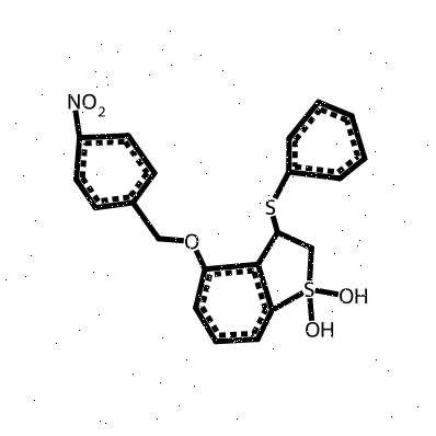 O=[N+]([O-])c1ccc(COc2cccc3c2C(Sc2ccccc2)CS3(O)O)cc1